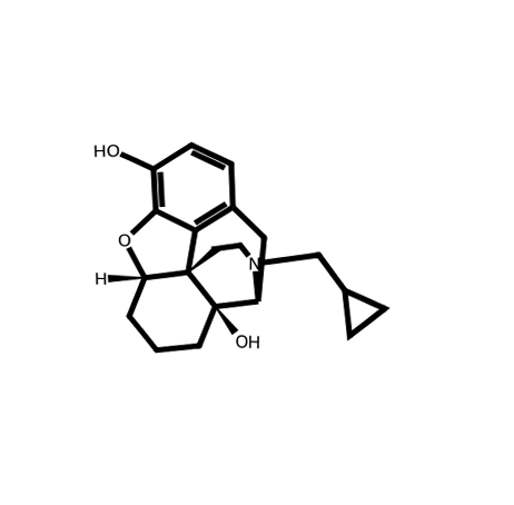 Oc1ccc2c3c1O[C@H]1CCC[C@@]4(O)C(C2)N(CC2CC2)CC[C@]314